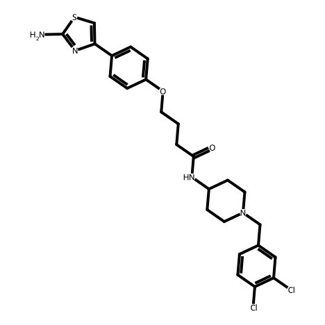 Nc1nc(-c2ccc(OCCCC(=O)NC3CCN(Cc4ccc(Cl)c(Cl)c4)CC3)cc2)cs1